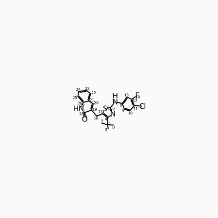 CC(C)(C)c1nc(Nc2ccc(Cl)c(F)c2)sc1Cc1cc2ccccc2[nH]c1=O